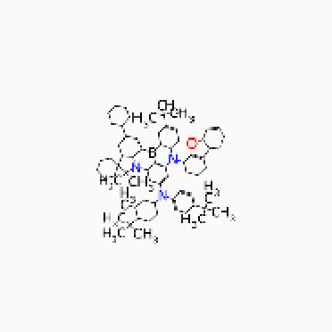 CC1CC(N(C2=CCC(C(C)(C)C)C=C2)C2=CC3=C4B(C5CC(C(C)(C)C)=CCC5N3C3CCCC5=C3OC3C=CCCC53)C3CC(C5CCCCC5)CC5C3N(C4C2)C(C)(C)C52CCCCC2)CCC1C(C)(C)C